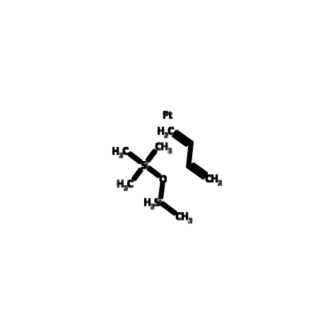 C=CC=C.C[SiH2]O[Si](C)(C)C.[Pt]